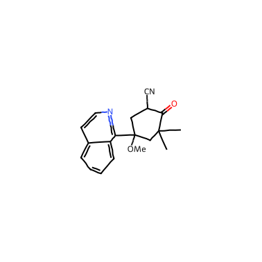 COC1(c2nccc3ccccc23)CC(C#N)C(=O)C(C)(C)C1